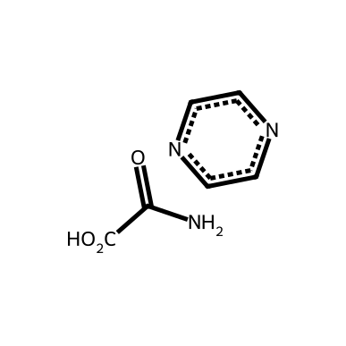 NC(=O)C(=O)O.c1cnccn1